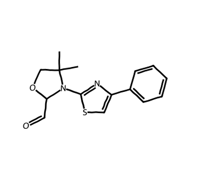 CC1(C)COC(C=O)N1c1nc(-c2ccccc2)cs1